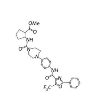 COC(=O)C1CCCC1NC(=O)N1CCN(c2ccc(NC(=O)c3nc(-c4ccccc4)oc3C(F)(F)F)cc2)CC1